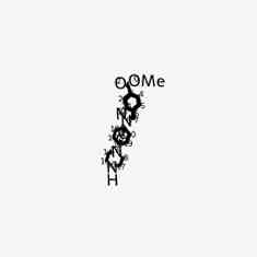 COC(=O)c1ccc2cn(C34CCC(N5CCNCC5)(CC3)CC4)nc2c1